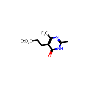 CCOC(=O)CCc1c(C(F)(F)F)nc(C)[nH]c1=O